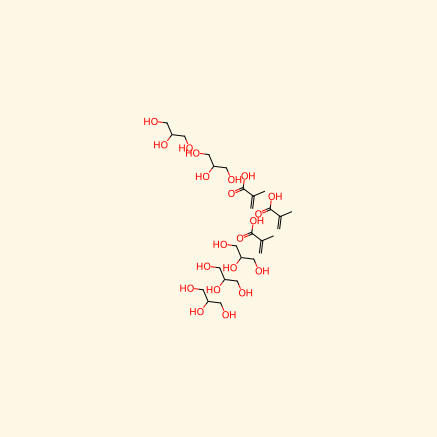 C=C(C)C(=O)O.C=C(C)C(=O)O.C=C(C)C(=O)O.OCC(O)CO.OCC(O)CO.OCC(O)CO.OCC(O)CO.OCC(O)CO